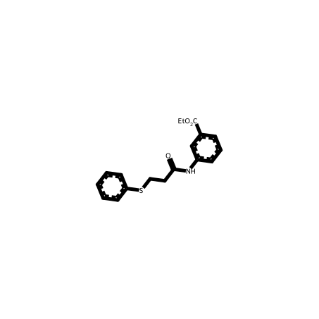 CCOC(=O)c1cccc(NC(=O)CCSc2ccccc2)c1